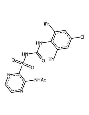 CC(=O)Nc1nccnc1S(=O)(=O)NC(=O)Nc1c(C(C)C)cc(Cl)cc1C(C)C